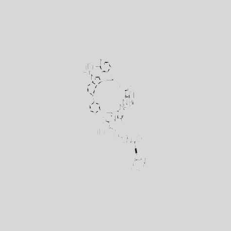 CCn1c(-c2cccnc2C(C)C)c2c3cc(ccc31)-c1cccc(c1)C[C@H](NC(=O)[C@@H](COC1CN(C(=O)C#C[C@@H]3COCCN3C)C1)C(C)C)C(=O)N1CCC[C@H](N1)C(=O)OCC(C)(C)C2